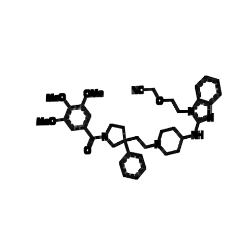 COc1cc(C(=O)N2CCC(CCN3CCC(Nc4nc5ccccc5n4CCOCC#N)CC3)(c3ccccc3)C2)cc(OC)c1OC